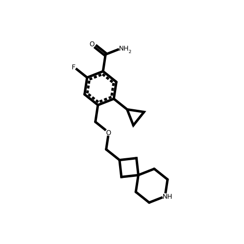 NC(=O)c1cc(C2CC2)c(COCC2CC3(CCNCC3)C2)cc1F